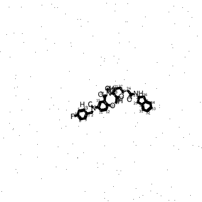 CN(Cc1ccc(F)cc1)c1ccc2c(c1)C(=O)N(C)[C@H]1CC[C@@H](CC(=O)NC3Cc4ccccc4C3)O[C@H]1CO2